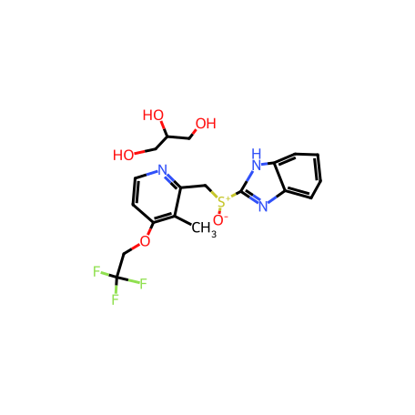 Cc1c(OCC(F)(F)F)ccnc1C[S+]([O-])c1nc2ccccc2[nH]1.OCC(O)CO